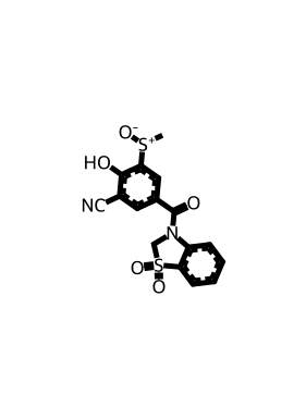 C[S+]([O-])c1cc(C(=O)N2CS(=O)(=O)c3ccccc32)cc(C#N)c1O